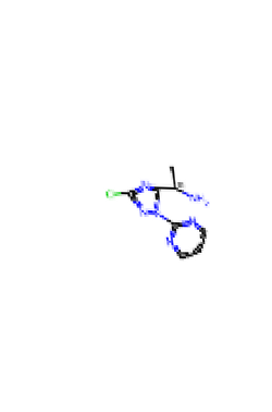 C[C@@H](N)c1nc(Cl)nn1-c1ncccn1